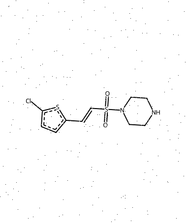 O=S(=O)(C=Cc1ccc(Cl)s1)N1CCNCC1